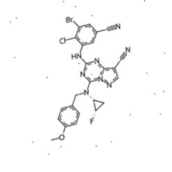 COc1ccc(CN(c2nc(Nc3cc(C#N)cc(Br)c3Cl)nc3c(C#N)cnn23)[C@@H]2C[C@@H]2F)cc1